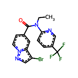 CCN(C(=O)c1ccn2ncc(Br)c2c1)c1ccc(C(F)(F)F)cn1